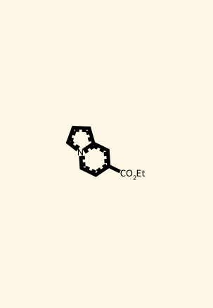 CCOC(=O)c1ccn2cccc2c1